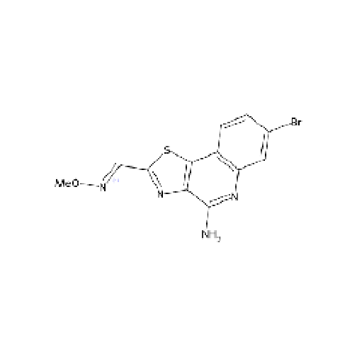 CO/N=C/c1nc2c(N)nc3cc(Br)ccc3c2s1